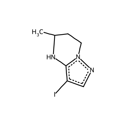 CC1CCn2ncc(I)c2N1